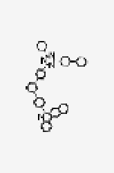 c1ccc(-c2ccc(-c3nc(-c4ccccc4)nc(-c4ccc(-c5cccc(-c6ccc(-c7nc8ccccc8c8cc9ccccc9cc78)cc6)c5)cc4)n3)cc2)cc1